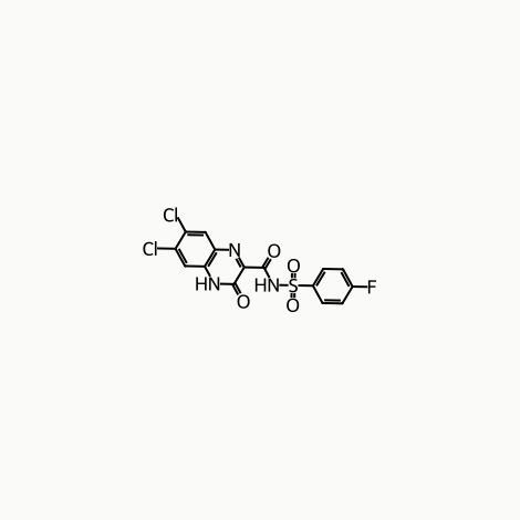 O=C(NS(=O)(=O)c1ccc(F)cc1)c1nc2cc(Cl)c(Cl)cc2[nH]c1=O